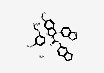 CCCOc1ccc2c(c1)[C@@H](c1ccc(OC)cc1OCC(=O)O)[C@H](C(=O)Oc1ccc3c(c1)CCC3)[C@H]2c1ccc2c(c1)OCO2.[NaH]